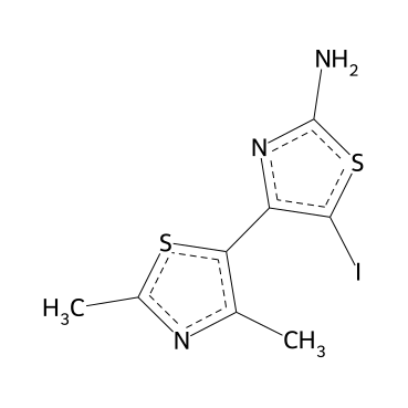 Cc1nc(C)c(-c2nc(N)sc2I)s1